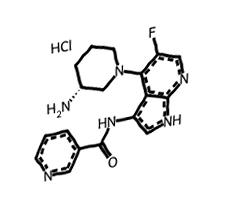 Cl.N[C@@H]1CCCN(c2c(F)cnc3[nH]cc(NC(=O)c4cccnc4)c23)C1